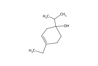 CCC1=CCC(O)(C(C)C)CC1